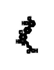 COc1cccc(-c2ccc(-c3cc4c(CCCC(=O)O)n[nH]c4cc3Cl)cc2)c1O